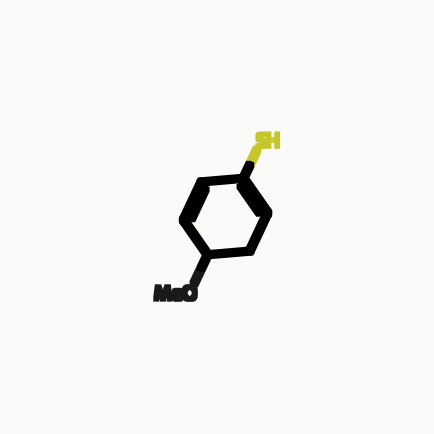 COC1C=CC(S)=CC1